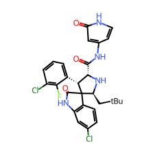 CC(C)(C)C[C@@H]1N[C@@H](C(=O)Nc2cc[nH]c(=O)c2)[C@@H](c2cccc(Cl)c2F)C12C(=O)Nc1cc(Cl)ccc12